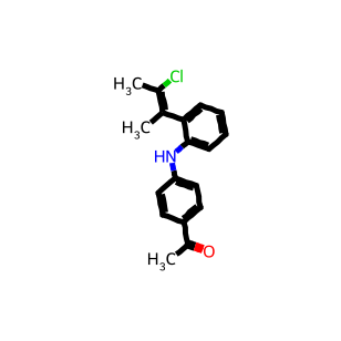 CC(=O)c1ccc(Nc2ccccc2/C(C)=C(/C)Cl)cc1